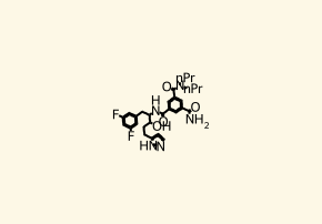 CCCN(CCC)C(=O)c1cc(C(N)=O)cc(C(=O)NC(Cc2cc(F)cc(F)c2)C(O)CCc2ccn[nH]2)c1